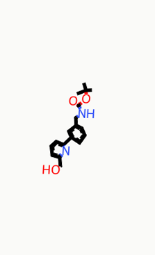 CC(C)(C)OC(=O)NCc1cccc(-c2cccc(CO)n2)c1